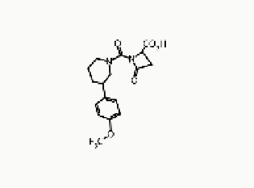 O=C(O)C1CC(=O)N1C(=O)N1CCCC(c2ccc(OC(F)(F)F)cc2)C1